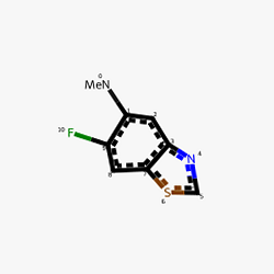 CNc1cc2ncsc2cc1F